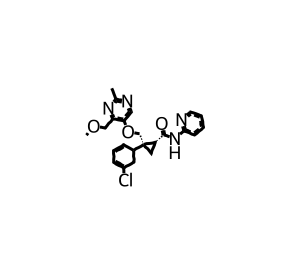 COCc1nc(C)ncc1OC[C@@]1(C2C=CC=C(Cl)C2)C[C@H]1C(=O)Nc1ccccn1